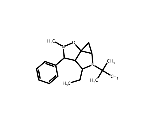 CCC1C2C(c3ccccc3)N(C)OC23CC3N1C(C)(C)C